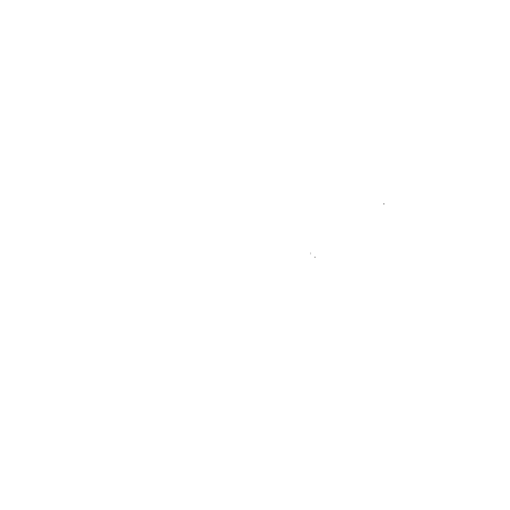 O=C(O)C=CCc1ccc2c(c1)CCC2NCc1cccnc1